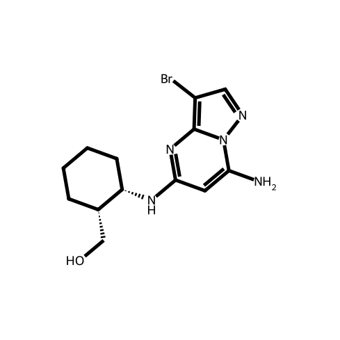 Nc1cc(N[C@H]2CCCC[C@H]2CO)nc2c(Br)cnn12